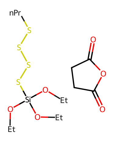 CCCSSSS[Si](OCC)(OCC)OCC.O=C1CCC(=O)O1